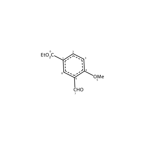 CCOC(=O)c1ccc(OC)c(C=O)c1